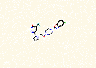 O=C(CN1CCCC1c1cc(C(F)(F)F)c(=O)[nH]n1)N1CCN(c2nc3cc(Cl)ccc3o2)CC1